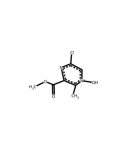 COC(=O)c1nc(Cl)c[n+](O)c1C